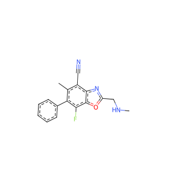 CNCc1nc2c(C#N)c(C)c(-c3ccccc3)c(F)c2o1